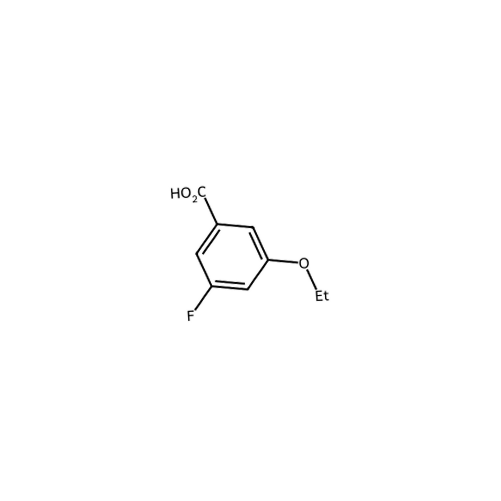 CCOc1cc(F)cc(C(=O)O)c1